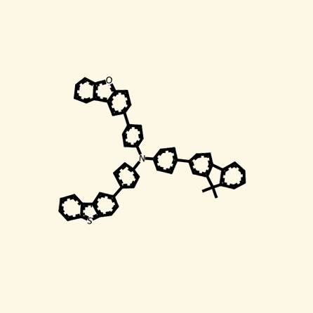 CC1(C)c2ccccc2-c2ccc(-c3ccc(N(c4ccc(-c5ccc6oc7ccccc7c6c5)cc4)c4ccc(-c5ccc6sc7ccccc7c6c5)cc4)cc3)cc21